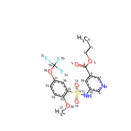 CCCOC(=O)c1cncc(NS(=O)(=O)c2cc(OC(F)(F)F)ccc2OC)c1